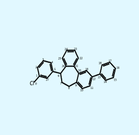 Clc1cccc(C2CCc3ccc(-c4ccccc4)cc3-c3ccccc32)c1